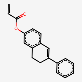 C=CC(=O)Oc1ccc2c(c1)CCC(c1ccccc1)=C2